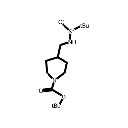 CC(C)(C)OC(=O)N1CCC(CN[S+]([O-])C(C)(C)C)CC1